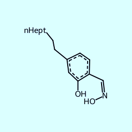 CCCCCCCCCc1ccc(/C=N\O)c(O)c1